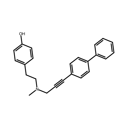 CN(CC#Cc1ccc(-c2ccccc2)cc1)CCc1ccc(O)cc1